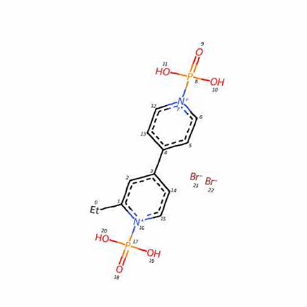 CCc1cc(-c2cc[n+](P(=O)(O)O)cc2)cc[n+]1P(=O)(O)O.[Br-].[Br-]